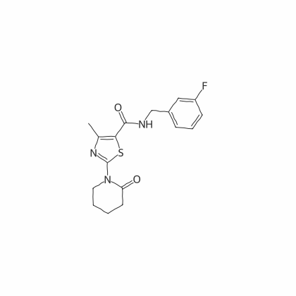 Cc1nc(N2CCCCC2=O)sc1C(=O)NCc1cccc(F)c1